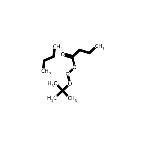 CCCC.CCCC(=O)OOOC(C)(C)C